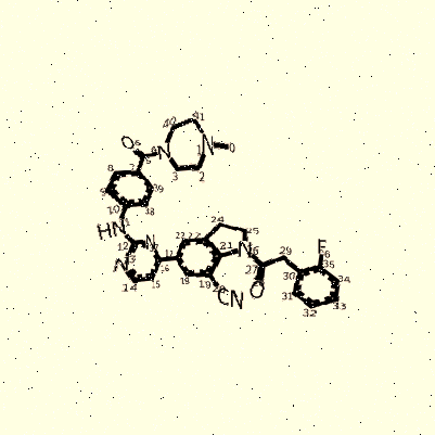 CN1CCN(C(=O)c2ccc(Nc3nccc(-c4cc(C#N)c5c(c4)CCN5C(=O)Cc4ccccc4F)n3)cc2)CC1